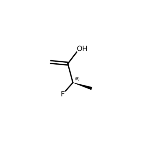 C=C(O)[C@@H](C)F